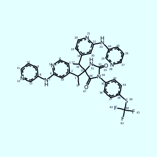 CC(c1ccnc(Nc2cccnc2)c1)C1(C(C)c2ccnc(Nc3cccnc3)c2)NC(=O)N(c2ccc(SC(F)(F)F)cc2)C1=O